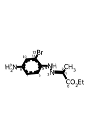 CCOC(=O)C(C)=NNc1ccc(N)cc1Br